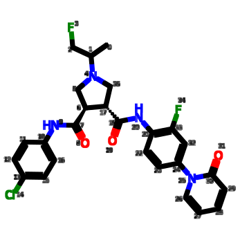 CC(CF)N1C[C@H](C(=O)Nc2ccc(Cl)cc2)[C@@H](C(=O)Nc2ccc(-n3ccccc3=O)cc2F)C1